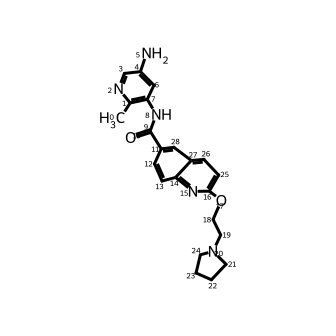 Cc1ncc(N)cc1NC(=O)c1ccc2nc(OCCN3CCCC3)ccc2c1